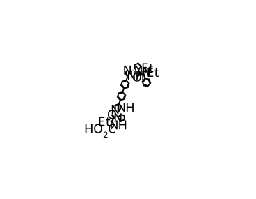 CC[C@H](NC(=O)O)C(=O)N1CCC[C@H]1c1ncc(-c2ccc(-c3ccc(-c4cnc([C@@H]5CCCN5C(=O)[C@@H](c5ccccc5)N(CC)CC)[nH]4)cc3)cc2)[nH]1